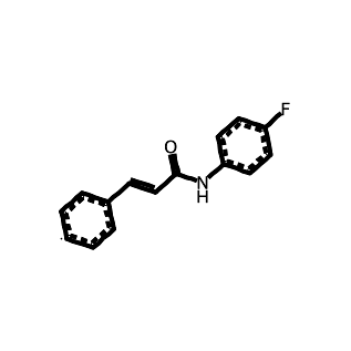 O=C(/C=C/c1cc[c]cc1)Nc1ccc(F)cc1